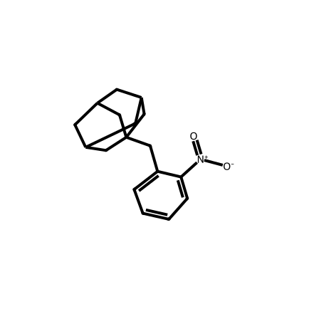 O=[N+]([O-])c1ccccc1CC12CC3CC(CC(C3)C1)C2